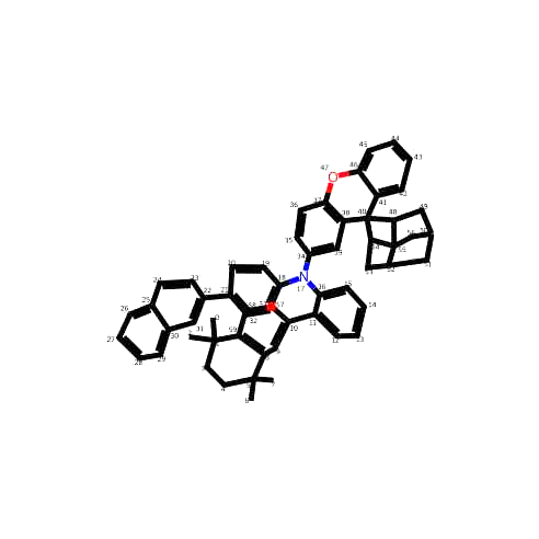 CC1(C)CCC(C)(C)c2cc(-c3ccccc3N(c3ccc(-c4ccc5ccccc5c4)cc3)c3ccc4c(c3)C3(c5ccccc5O4)C4CC5CC6CC3C64C5)ccc21